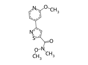 COc1cc(-c2cc(C(=O)N(C)OC)sn2)ccn1